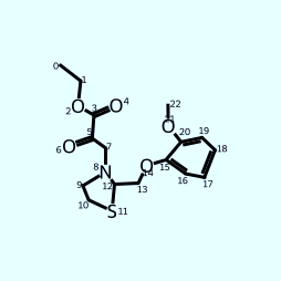 CCOC(=O)C(=O)CN1CCSC1COc1ccccc1OC